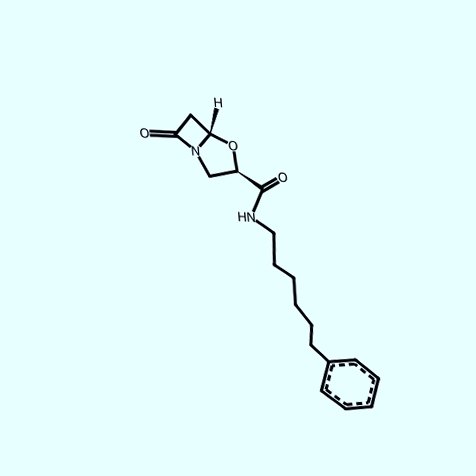 O=C(NCCCCCCc1ccccc1)[C@H]1CN2C(=O)C[C@@H]2O1